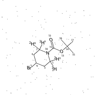 [2H]C1([2H])CC(Br)CC([2H])([2H])N1C(=O)OC(C)(C)C